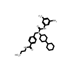 Nc1cc(NC(=O)N(Cc2ccc(C(=O)NCCC(=O)O)cc2)C2CCC(C3CCCCC3)CC2)cc(C(F)(F)F)c1